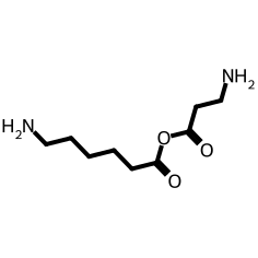 NCCCCCC(=O)OC(=O)CCN